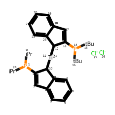 CC(C)P(C1=Cc2ccccc2[CH]1[Ti+2][CH]1C(P(C(C)(C)C)C(C)(C)C)=Cc2ccccc21)C(C)C.[Cl-].[Cl-]